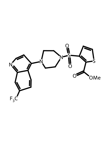 COC(=O)c1sccc1S(=O)(=O)N1CCN(c2ccnc3cc(C(F)(F)F)ccc23)CC1